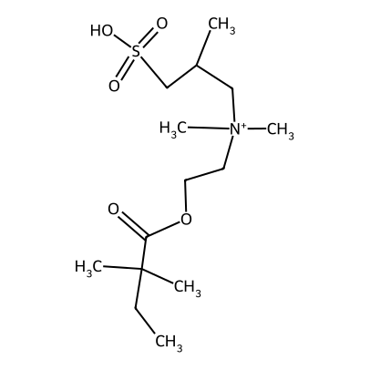 CCC(C)(C)C(=O)OCC[N+](C)(C)CC(C)CS(=O)(=O)O